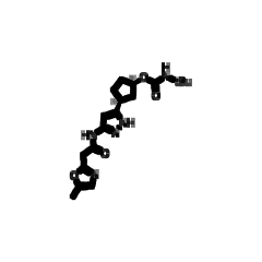 Cc1cnc(CC(=O)Nc2cc([C@H]3CC[C@@H](OC(=O)NC(C)(C)C)C3)[nH]n2)o1